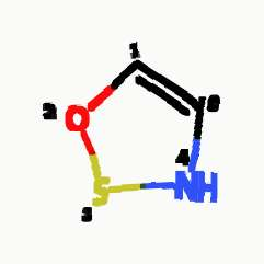 [C]1=COSN1